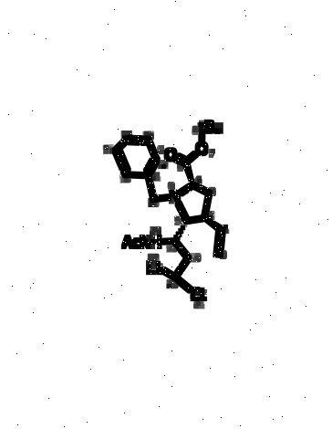 C=C[C@@H]1C[C@H](C(=O)OC(C)(C)C)N(Cc2ccccc2)[C@H]1C(CC(CC)CC)NC(C)=O